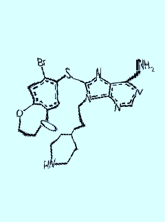 Nc1ncnc2c1nc(Sc1cc3c(cc1Br)OCCO3)n2CCC1CCNCC1